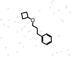 c1ccc(CCCOC2CCC2)cc1